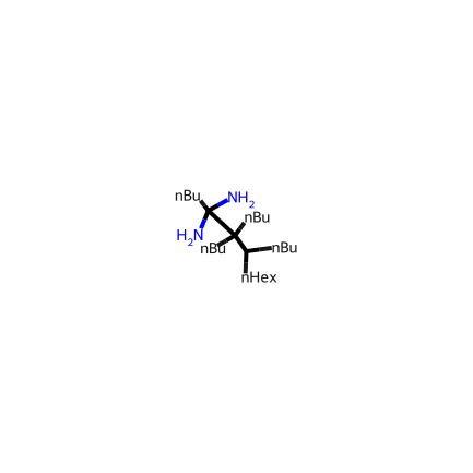 CCCCCCC(CCCC)C(CCCC)(CCCC)C(N)(N)CCCC